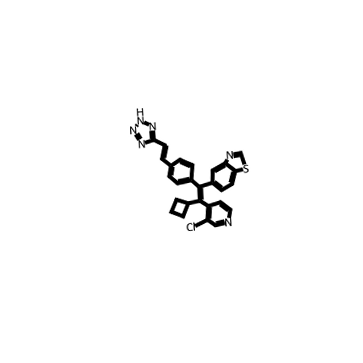 Clc1cnccc1C(=C(c1ccc(C=Cc2nn[nH]n2)cc1)c1ccc2scnc2c1)C1CCC1